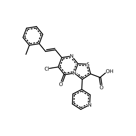 Cc1ccccc1/C=C/c1nc2sc(C(=O)O)c(-c3cccnc3)n2c(=O)c1Cl